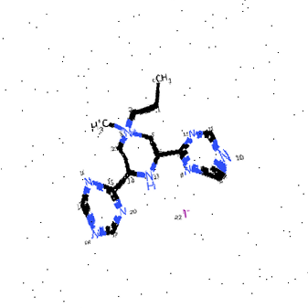 CCC[N+]1(C)CC(c2ncncn2)NC(c2ncncn2)C1.[I-]